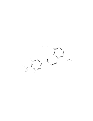 C=C(/C=C\c1cc(OC)ccc1NCl)c1ccc(N(C)Cl)c(F)c1